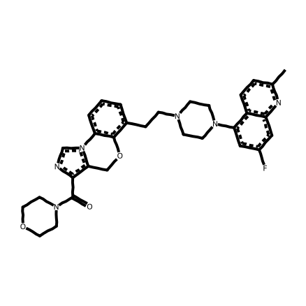 Cc1ccc2c(N3CCN(CCc4cccc5c4OCc4c(C(=O)N6CCOCC6)ncn4-5)CC3)cc(F)cc2n1